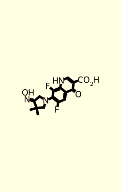 CC1(C)CN(c2c(F)cc3c(=O)c(C(=O)O)c[nH]c3c2F)CC1=NO